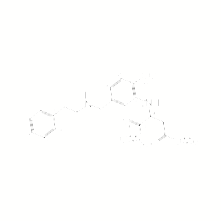 COC(=O)CC(Nc1cc(CNCCc2ccccc2)ccc1C(=O)O)C(=O)OC